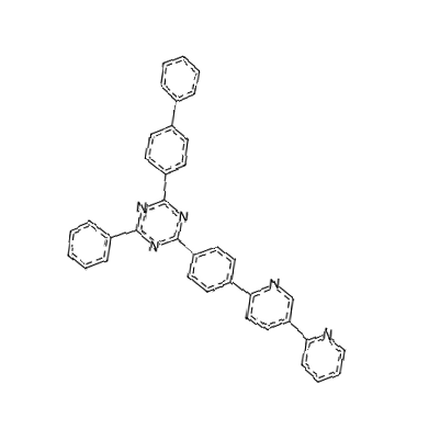 c1ccc(-c2ccc(-c3nc(-c4ccccc4)nc(-c4ccc(-c5ccc(-c6ccccn6)cn5)cc4)n3)cc2)cc1